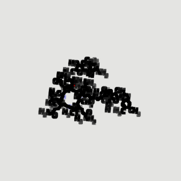 C/C1=C2/[N-]C([C@H](CC(N)=O)[C@@]2(C)CCC(=O)NCC(C)OP(=O)([O-])OC2C(O)[C@@H](n3cnc4cc(C)c(C)cc43)O[C@@H]2CO)[C@]2(C)N=C(/C(C)=C3N=C(/C=C4N=C1[C@@H](CCC(N)=O)C\4(C)C)[C@@H](CCC(N)=O)[C@]\3(C)CC(N)=O)[C@@H](CCC(N)=O)[C@]2(C)CC(N)=O.[CH2-]C1O[C@H](n2cnc3c(N)ncnc32)[C@@H](O)[C@H]1O.[Co+3]